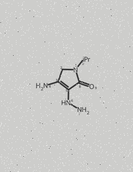 CC(C)N1CC(N)=C(NN)C1=O